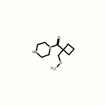 COCC1(C(=O)N2CCNCC2)CCC1